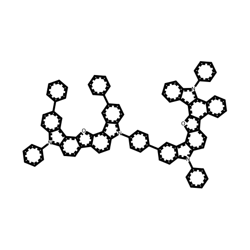 c1ccc(-c2ccc3c(c2)c2c4oc5c(ccc6c5c5cc(-c7ccccc7)ccc5n6-c5ccc(-c6ccc7c(c6)c6c8oc9c(c%10ccccc%10c%10c9c9ccccc9n%10-c9ccccc9)c8ccc6n7-c6ccccc6)cc5)c4ccc2n3-c2ccccc2)cc1